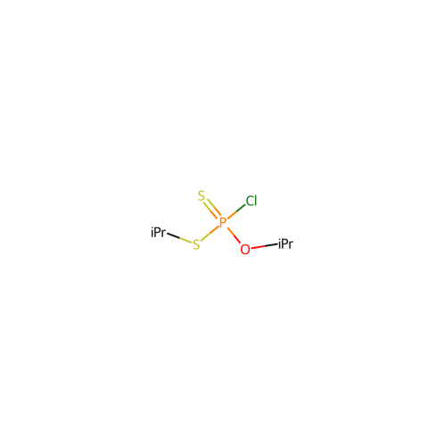 CC(C)OP(=S)(Cl)SC(C)C